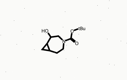 CC(C)(C)OC(=O)N1CCC2CC2C(O)C1